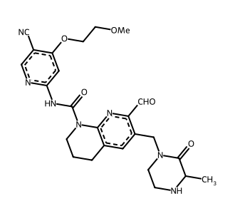 COCCOc1cc(NC(=O)N2CCCc3cc(CN4CCNC(C)C4=O)c(C=O)nc32)ncc1C#N